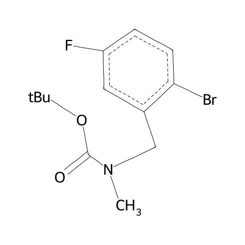 CN(Cc1cc(F)ccc1Br)C(=O)OC(C)(C)C